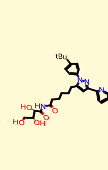 CC(C)(C)c1ccc(-n2nc(-c3ccccn3)cc2CCCCCC(=O)NC(=O)[C@@H](O)[C@H](O)CO)cc1